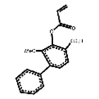 C=CC(=O)Oc1c(C(=O)O)ccc(-c2ccccc2)c1OC